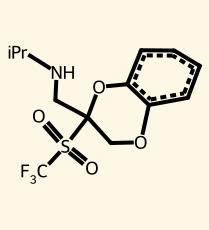 CC(C)NCC1(S(=O)(=O)C(F)(F)F)COc2ccccc2O1